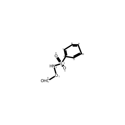 O=CONS(=O)(=O)c1ccccc1